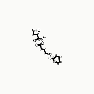 CN(OC(=O)CCCSSc1ccccn1)C(=O)CCC=O